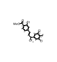 CCc1cc(/C=C/C(c2cc(Cl)c(F)c(Cl)c2)C(F)(F)F)ccc1C(=O)OC